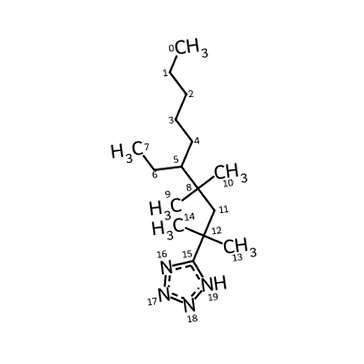 CCCCCC(CC)C(C)(C)CC(C)(C)c1nnn[nH]1